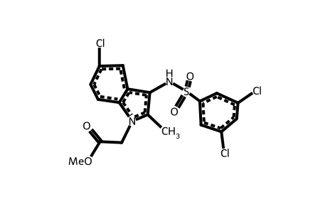 COC(=O)Cn1c(C)c(NS(=O)(=O)c2cc(Cl)cc(Cl)c2)c2cc(Cl)ccc21